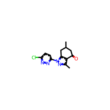 Cc1nn(-c2ccc(Cl)nn2)c2c1C(=O)CC(C)C2